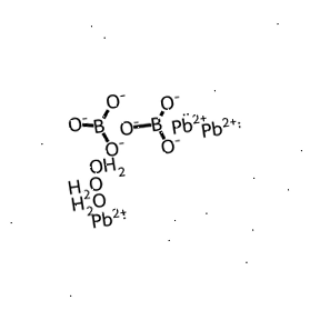 O.O.O.[O-]B([O-])[O-].[O-]B([O-])[O-].[Pb+2].[Pb+2].[Pb+2]